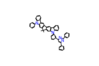 CC1(C)c2cc3c(cc2-c2cc4c5ccccc5n(-c5cccc(-c6cc(-c7ccccc7)nc(-c7ccccc7)n6)c5)c4cc21)c1ccccc1n3-c1ccccc1